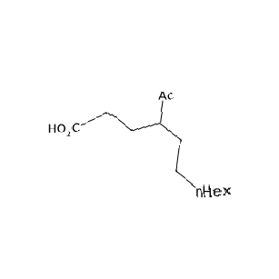 CCCCCCCCC(CCC(=O)O)C(C)=O